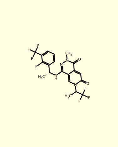 CC(n1cc2c(N[C@H](C)c3cccc(C(F)(F)F)c3F)nn(C)c(=O)c2cc1=O)C(F)(F)F